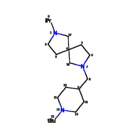 CC(C)N1CCC2(CCN(CC3CCN(C(C)(C)C)CC3)C2)C1